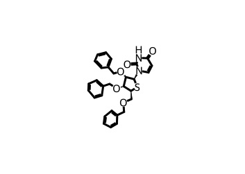 O=c1ccn([C@H]2S[C@@H](COCc3ccccc3)[C@H](OCc3ccccc3)[C@H]2OCc2ccccc2)c(=O)[nH]1